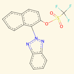 O=S(=O)(Oc1ccc2ccccc2c1-n1nc2ccccc2n1)C(F)(F)F